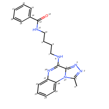 Cc1nnc2c(NCCCCNC(=O)c3ccccc3)nc3ccccc3n12